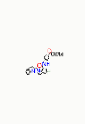 COC(=O)[C@H]1CC[C@H](CNC(=O)c2cc(F)cc3ccn(Cc4ccc5ccccc5n4)c23)CC1